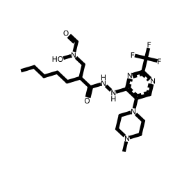 CCCCCC(CN(O)C=O)C(=O)NNc1nc(C(F)(F)F)ncc1N1CCN(C)CC1